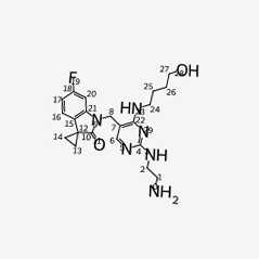 NCCNc1ncc(CN2C(=O)C3(CC3)c3ccc(F)cc32)c(NCCCCO)n1